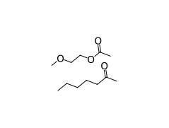 CCCCCC(C)=O.COCCOC(C)=O